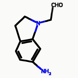 Nc1ccc2c(c1)N(CC=O)CC2